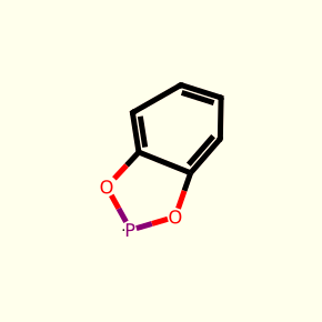 c1ccc2c(c1)O[P]O2